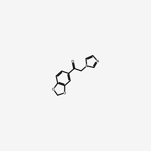 O=C(Cn1ccnc1)c1ccc2c(c1)OCO2